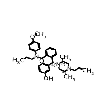 C=CCN1C[C@H](C)N([C@H](c2cccc(O)c2)c2ccccc2C(=O)N(CCC)c2ccc(OC)cc2)C[C@H]1C